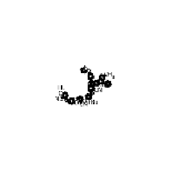 Cc1ccc(-c2ccc(-c3cccc(Oc4ccc(Oc5cccc(Oc6ccc(Oc7cccc(C)c7C#N)cc6)c5C#N)c(C(C)(C)C)c4)c3C#N)c(C(=O)c3ccc(Oc4ccccn4)cc3)c2)c(C(=O)c2ccccc2)c1